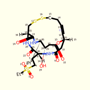 CCS(=O)(=O)CC[C@H]1NC(=O)C[C@H]2/C=C/CCSSC[C@@H](NC1=O)C(=O)N[C@H](C(C)C)[C@@H](O)CC(=O)O2